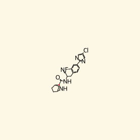 N#CC(Cc1ccc(-c2ncc(Cl)cn2)cc1F)NC(=O)C1NC2CCC1C2